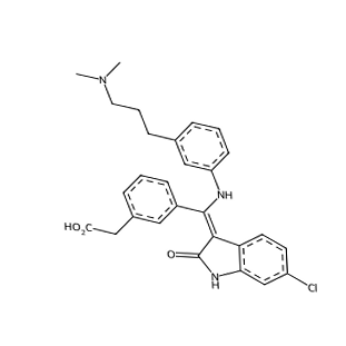 CN(C)CCCc1cccc(NC(=C2C(=O)Nc3cc(Cl)ccc32)c2cccc(CC(=O)O)c2)c1